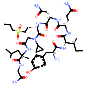 CCCS(=O)(=O)CC[C@H](NC(=O)[C@H](CC(N)=O)NC(=O)[C@H](CCC(N)=O)NC(=O)[C@@H](NC(=O)[C@@H](N)Cc1ccc(O)cc1)[C@@H](C)CC)C(=O)N(CC(=O)N[C@@](C)(CC(C)C)C(=O)NCC(N)=O)C1CC1